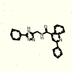 O=C(NCc1nnc(-c2ccccc2)[nH]1)c1cc(-c2ccccc2)nc2ccccc12